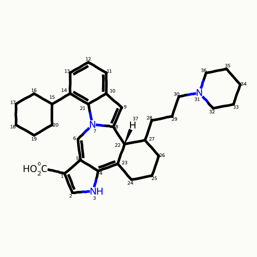 O=C(O)c1c[nH]c2c1=Cn1c(cc3cccc(C4CCCCC4)c31)[C@H]1C=2CCCC1CCCN1CCCCC1